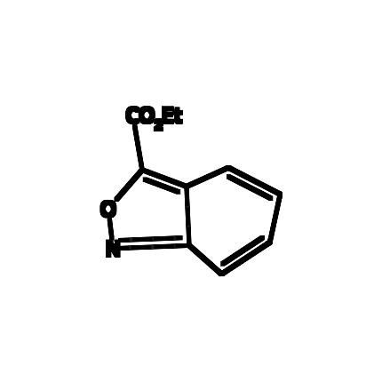 CCOC(=O)c1onc2ccccc12